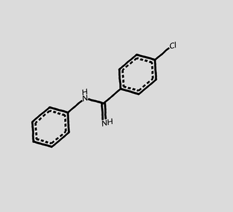 N=C(Nc1ccccc1)c1ccc(Cl)cc1